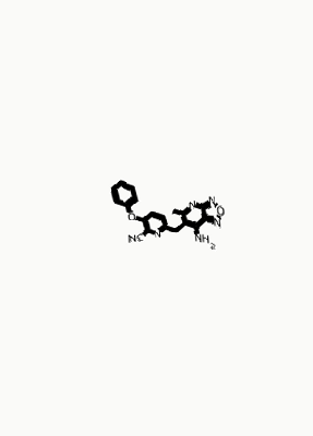 Cc1nc2nonc2c(N)c1Cc1ccc(Oc2ccccc2)c(C#N)n1